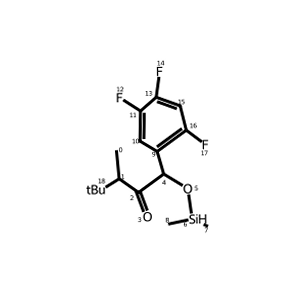 CC(C(=O)C(O[SiH](C)C)c1cc(F)c(F)cc1F)C(C)(C)C